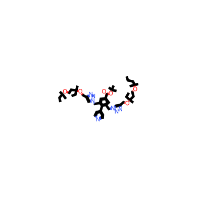 CCCC(C)(C)OCCC(C)(CC)OCc1cn(Cc2cc(C(=O)OC(C)(C)C)cc(Cn3cc(COC(C)(CC)CCOC(C)(C)CC)nn3)c2-c2ccncc2)nn1